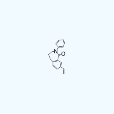 C=Cc1ccc2c(c1)C(=O)N(c1ccccc1)CCC2